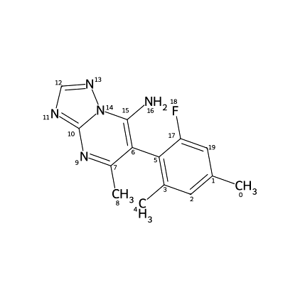 Cc1cc(C)c(-c2c(C)nc3ncnn3c2N)c(F)c1